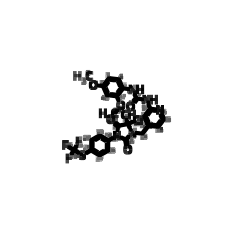 COc1ccc(NC(=O)Nc2cc(CN3C(=O)N(c4ccc(SC(F)(F)F)cc4)C(=O)C3(C)C)ccn2)c(OC)c1